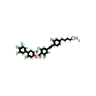 CCCCCc1ccc(C#Cc2cc(F)c(C(F)(F)OC3=CCC(c4cc(F)c(F)c(F)c4)C(F)=C3)c(F)c2)c(F)c1